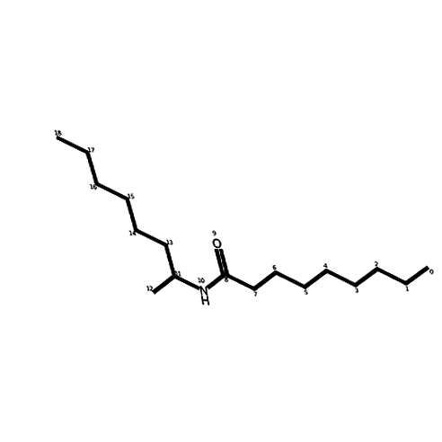 CCCCCCCCC(=O)NC(C)CCCCCC